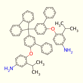 CC(C)c1cc(N)ccc1Oc1ccc(C2(c3ccc(Oc4ccc(N)cc4C(C)C)c(-c4ccccc4)c3)c3ccccc3-c3ccccc32)cc1-c1ccccc1